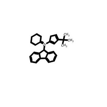 CC(C)(C)C1=CC[C]([Zr](=[C]2CCCCC2)[CH]2c3ccccc3-c3ccccc32)=C1